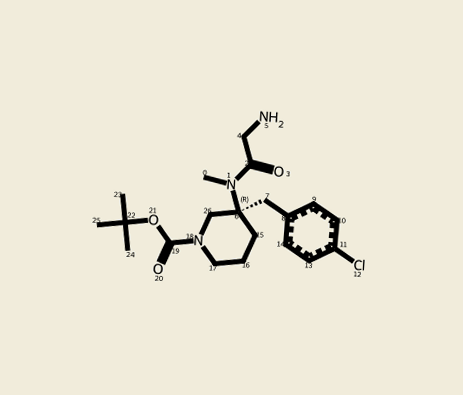 CN(C(=O)CN)[C@@]1(Cc2ccc(Cl)cc2)CCCN(C(=O)OC(C)(C)C)C1